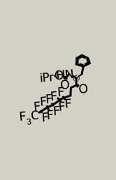 CC(C)OC(=O)N[C@@H](Cc1ccccc1)C(=O)CCC(F)(F)C(F)(F)C(F)(F)C(F)(F)C(F)(F)C(F)(F)F